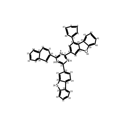 c1ccc(-c2cc(-c3nc(-c4ccc5ccccc5c4)nc(-c4ccc5c(c4)sc4ccccc45)n3)cc3oc4ccccc4c23)cc1